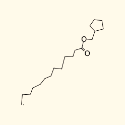 [CH2]CCCCCCCCCCCC(=O)OCC1CCCC1